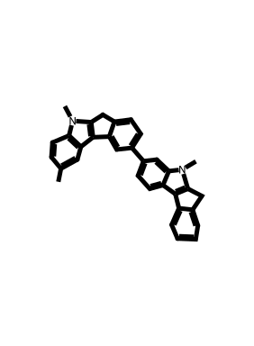 Cc1ccc2c(c1)c1c(n2C)Cc2ccc(-c3ccc4c5c(n(C)c4c3)Cc3ccccc3-5)cc2-1